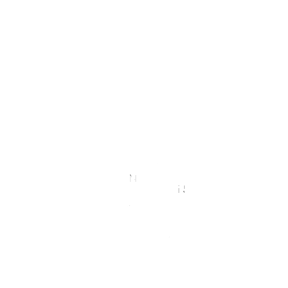 CC(C)(C)c1nc(C(C)(C)CC2CCCCCCC2)ns1